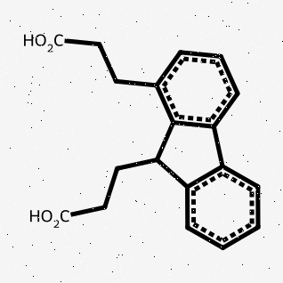 O=C(O)CCc1cccc2c1C(CCC(=O)O)c1ccccc1-2